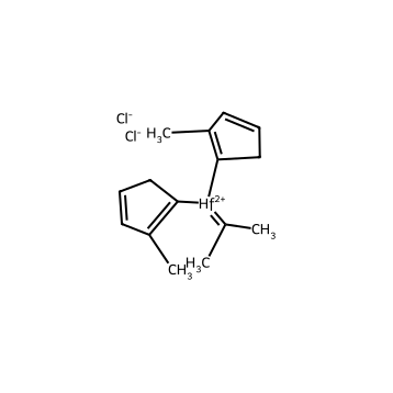 CC1=[C]([Hf+2]([C]2=C(C)C=CC2)=[C](C)C)CC=C1.[Cl-].[Cl-]